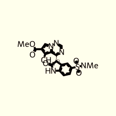 CNS(=O)(=O)c1ccc2c(c1)[C@@H](c1ncnn3cc(C(=O)OC)c(C)c13)C(=O)N2